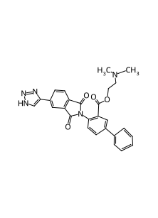 CN(C)CCOC(=O)c1cc(-c2ccccc2)ccc1N1C(=O)c2ccc(-c3c[nH]nn3)cc2C1=O